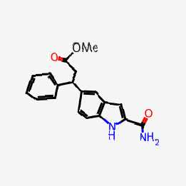 COC(=O)CC(c1ccccc1)c1ccc2[nH]c(C(N)=O)cc2c1